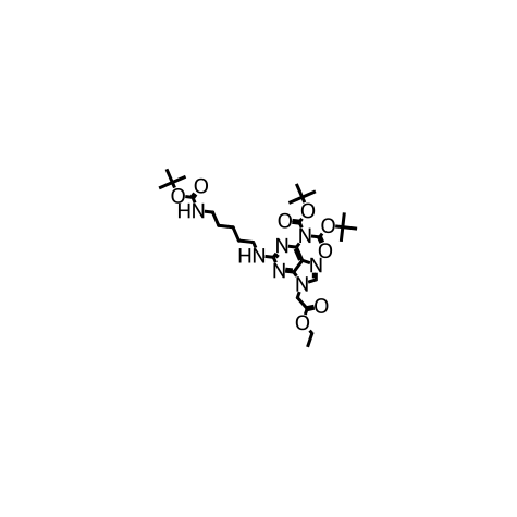 CCOC(=O)Cn1cnc2c(N(C(=O)OC(C)(C)C)C(=O)OC(C)(C)C)nc(NCCCCCNC(=O)OC(C)(C)C)nc21